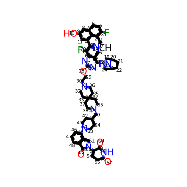 C#Cc1c(F)ccc2cc(O)cc(-c3ncc4c(N5CC6CCC(C5)N6)nc(OCCN5CCC6(CC5)CCN(CC5CCN(c7cccc8c7CN(C7CCC(=O)NC7=O)C8=O)CC5)CC6)nc4c3F)c12